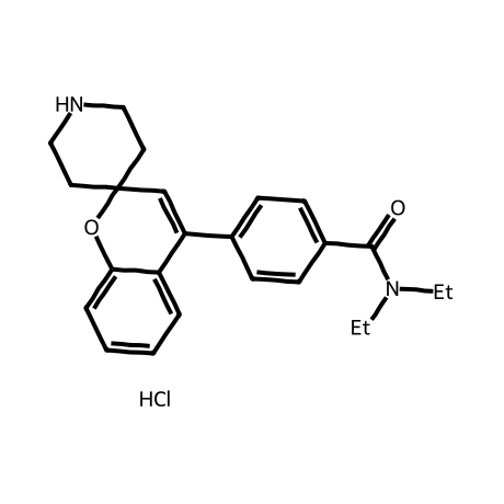 CCN(CC)C(=O)c1ccc(C2=CC3(CCNCC3)Oc3ccccc32)cc1.Cl